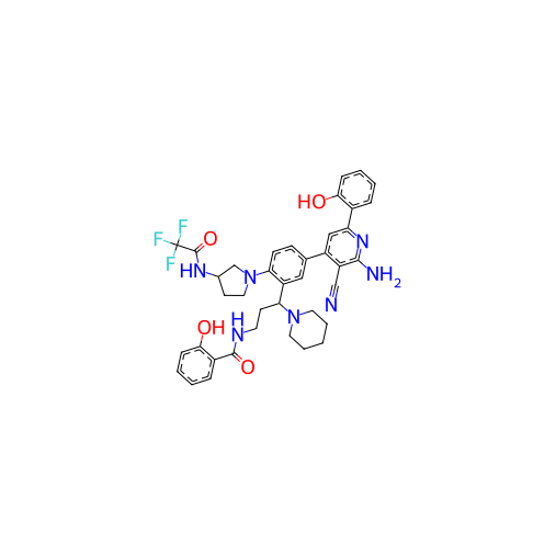 N#Cc1c(-c2ccc(N3CCC(NC(=O)C(F)(F)F)C3)c(C(CCNC(=O)c3ccccc3O)N3CCCCC3)c2)cc(-c2ccccc2O)nc1N